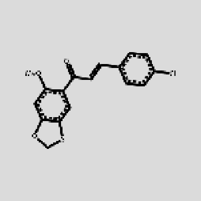 COc1cc2c(cc1C(=O)C=Cc1ccc(Cl)cc1)SCO2